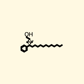 CCCCCCCCCCCCC(c1ccccc1)[N+](C)(C)CCO